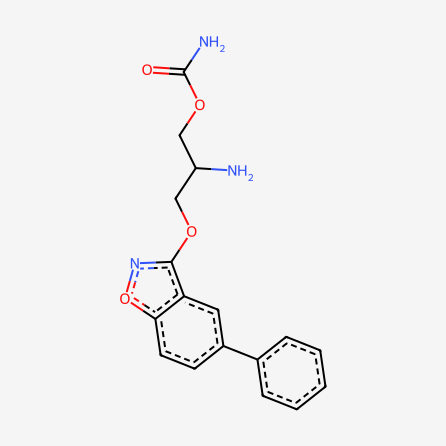 NC(=O)OCC(N)COc1noc2ccc(-c3ccccc3)cc12